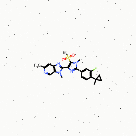 CCS(=O)(=O)c1c(-c2nc3cc(C(F)(F)F)ncc3n2C)nc(-c2ccc(C3(C)CC3)c(F)c2)n1C